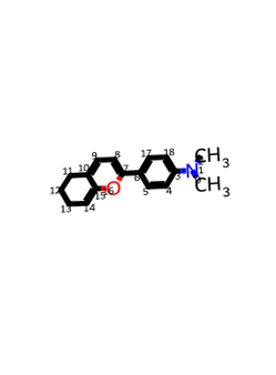 CN(C)c1ccc(C2=CC=C3CCCC=C3O2)cc1